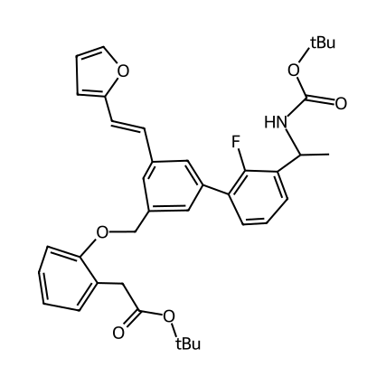 CC(NC(=O)OC(C)(C)C)c1cccc(-c2cc(/C=C/c3ccco3)cc(COc3ccccc3CC(=O)OC(C)(C)C)c2)c1F